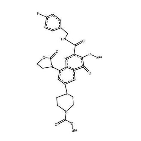 CCCCOc1c(C(=O)NCc2ccc(F)cc2)nc2c(N3CCOC3=O)cc(N3CCN(C(=O)OC(C)(C)C)CC3)cn2c1=O